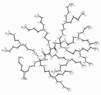 CCCCN(CCCN)CCCOC(COCCCN(CCCN)CCCN)(COCCCN(CCCN)CCCN)NC(=O)C(OCCCN(CCCN)CCCN)C(OCCCN(CCCN)CCCN)C(=O)NC(COCCCN(CCCN)CCCN)(COCCCN(CCCN)CCCN)OCCCN(CCCN)CCCN